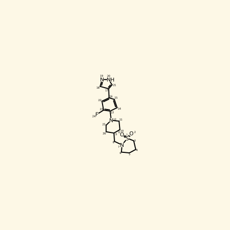 O=S1(=O)CCCCN1CC1CCN(c2ccc(-c3cn[nH]c3)cc2F)CC1